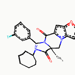 CC1(C(=O)NC2CCCCC2)Cn2c(cc3occc32)C(=O)N1Cc1cccc(F)c1